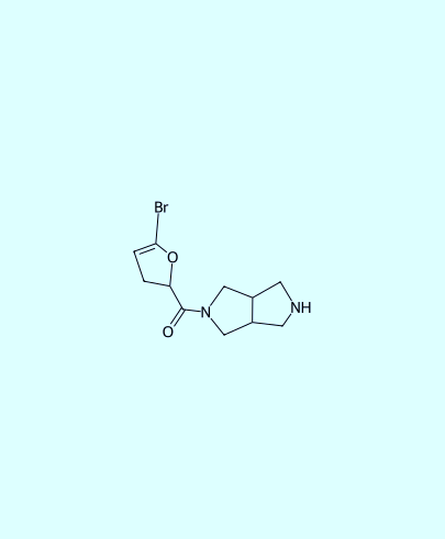 O=C(C1CC=C(Br)O1)N1CC2CNCC2C1